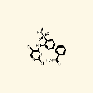 CNS(=O)(=O)c1ccccc1Nc1nc(Cl)ncc1Cl.NC(=O)c1ccccc1